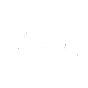 CCCN(CC)C[SiH2]C=C(C)C